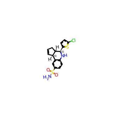 NS(=O)(=O)c1ccc2c(c1)[C@H]1C=CC[C@H]1[C@@H](c1ccc(Cl)s1)N2